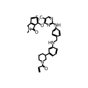 C=CC(=O)N1CCCC(c2cccc(NCc3ccc(Nc4ncc(C(F)(F)F)c(Oc5cccc6c5C(=O)N(C)C6)n4)cc3)c2)C1